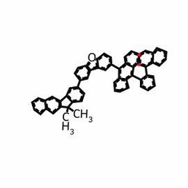 CC1(C)c2ccc(-c3ccc4oc5ccc(-c6c7ccccc7c(-c7ccccc7-c7cccc8ccccc78)c7ccccc67)cc5c4c3)cc2-c2cc3ccccc3cc21